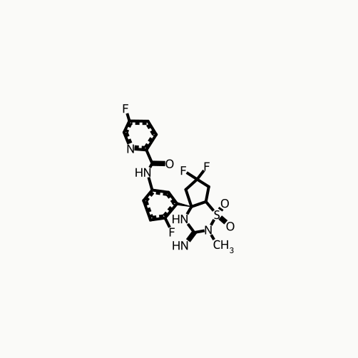 CN1C(=N)N[C@]2(c3cc(NC(=O)c4ccc(F)cn4)ccc3F)CC(F)(F)CC2S1(=O)=O